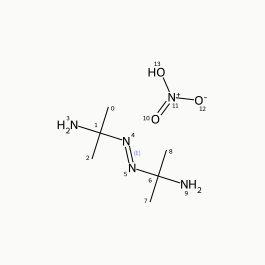 CC(C)(N)/N=N/C(C)(C)N.O=[N+]([O-])O